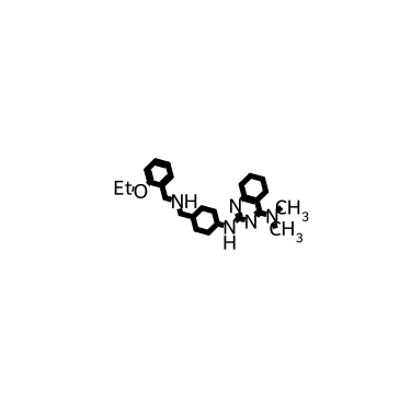 CCOc1ccccc1CNCC1CCC(Nc2nc3c(c(N(C)C)n2)CCCC3)CC1